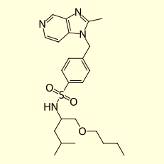 CCCCOCC(CC(C)C)NS(=O)(=O)c1ccc(Cn2c(C)nc3cnccc32)cc1